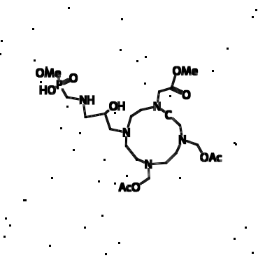 COC(=O)CN1CCN(COC(C)=O)CCN(COC(C)=O)CCN(CC(O)CNCP(=O)(O)OC)CC1